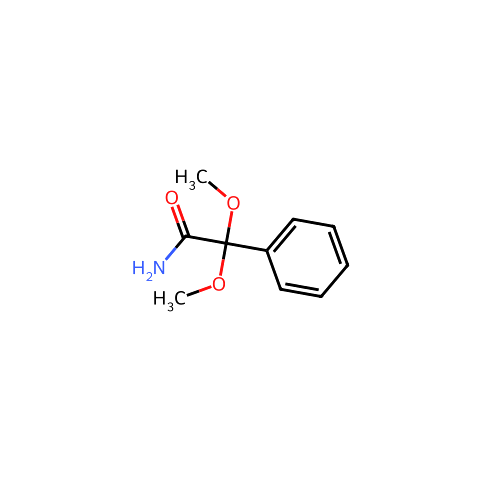 COC(OC)(C(N)=O)c1ccccc1